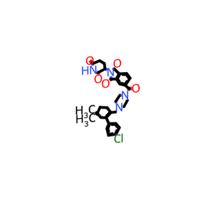 CC1(C)CCC(CN2CCN(C(=O)c3ccc4c(c3)C(=O)N(C3CCC(=O)NC3=O)C4=O)CC2)=C(c2ccc(Cl)cc2)C1